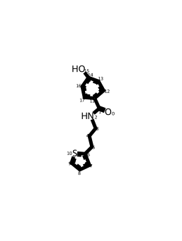 O=C(NCCCc1cccs1)c1ccc(O)cc1